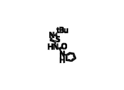 CC(C)(C)c1ncc(NC(=O)Nc2ccccc2)s1